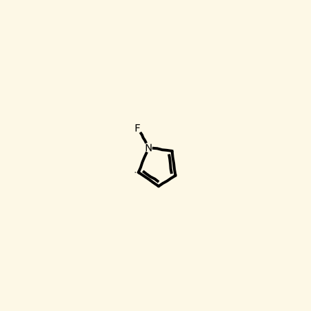 Fn1[c]ccc1